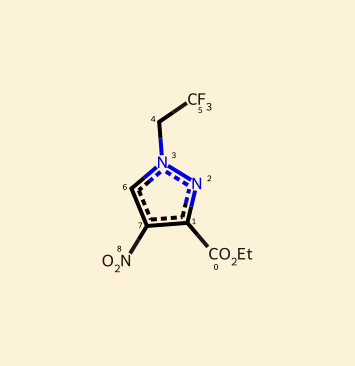 CCOC(=O)c1nn(CC(F)(F)F)cc1[N+](=O)[O-]